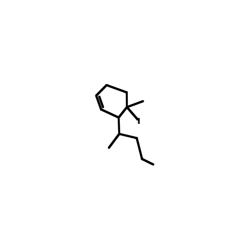 CCCC(C)C1C=CCCC1(C)I